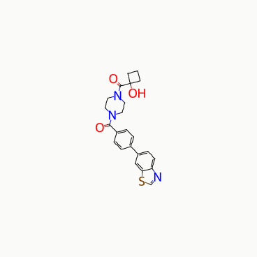 O=C(c1ccc(-c2ccc3ncsc3c2)cc1)N1CCN(C(=O)C2(O)CCC2)CC1